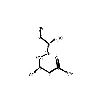 CC(=O)[C@H](CC(N)=O)NN[C@H](C=O)CC(C)C